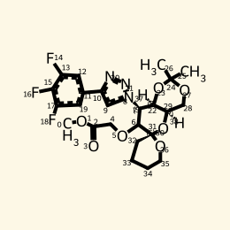 COC(=O)COC1[C@@H](n2cc(-c3cc(F)c(F)c(F)c3)nn2)[C@H]2OC(C)(C)OC[C@H]2O[C@@]12CCCCO2